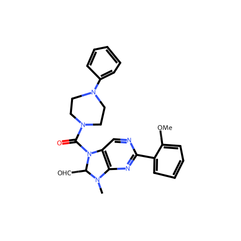 COc1ccccc1-c1ncc2c(n1)N(C)C(C=O)N2C(=O)N1CCN(c2ccccc2)CC1